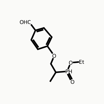 CCO[PH](=O)C(C)COc1ccc(C=O)cc1